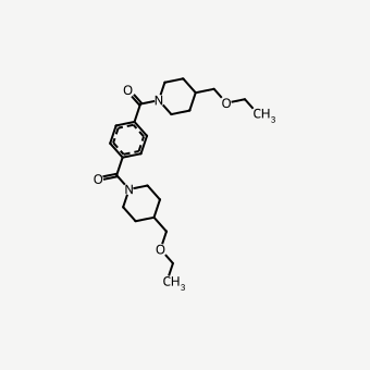 CCOCC1CCN(C(=O)c2ccc(C(=O)N3CCC(COCC)CC3)cc2)CC1